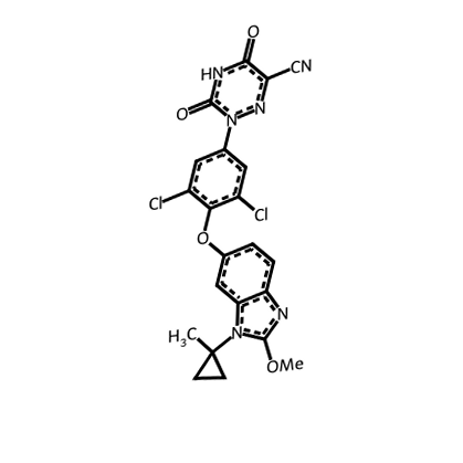 COc1nc2ccc(Oc3c(Cl)cc(-n4nc(C#N)c(=O)[nH]c4=O)cc3Cl)cc2n1C1(C)CC1